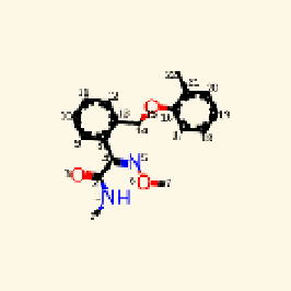 CNC(=O)C(=NOC)c1ccccc1COc1ccccc1C